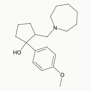 COc1ccc(C2(O)CCCC2CN2CCCCCC2)cc1